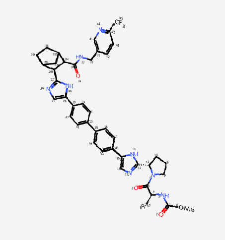 COC(=O)N[C@H](C(=O)N1CCC[C@H]1c1ncc(-c2ccc(-c3ccc(-c4cnc(C5C6CCC(C6)C5C(=O)NCc5ccc(C(F)(F)F)nc5)[nH]4)cc3)cc2)[nH]1)C(C)C